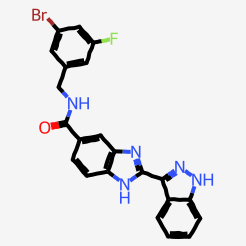 O=C(NCc1cc(F)cc(Br)c1)c1ccc2[nH]c(-c3n[nH]c4ccccc34)nc2c1